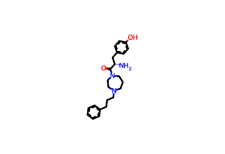 N[C@@H](Cc1ccc(O)cc1)C(=O)N1CCCN(CCCc2ccccc2)CC1